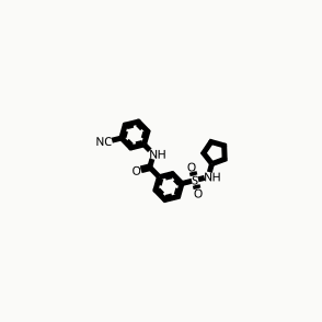 N#Cc1cccc(NC(=O)c2cccc(S(=O)(=O)NC3CCCC3)c2)c1